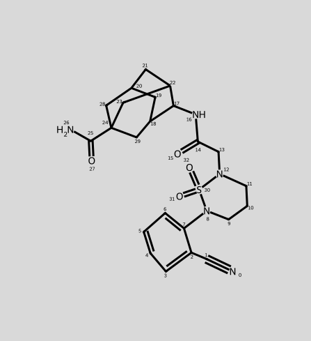 N#Cc1ccccc1N1CCCN(CC(=O)NC2C3CC4CC2CC(C(N)=O)(C4)C3)S1(=O)=O